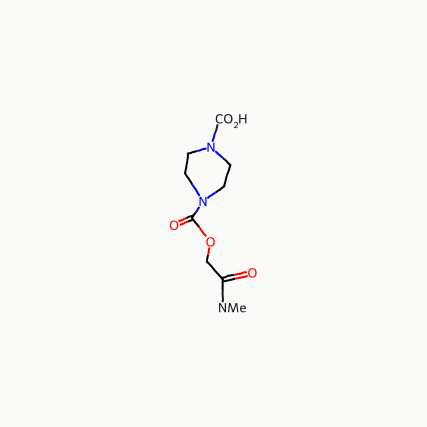 CNC(=O)COC(=O)N1CCN(C(=O)O)CC1